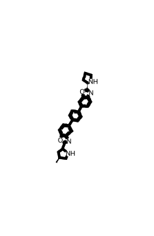 C[C@@H]1CNC(c2nc3cc(-c4ccc(-c5ccc6nc([C@@H]7CCCN7)oc6c5)cc4)ccc3o2)C1